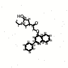 CCN1CC(C(=O)COc2cc(-c3ccccc3)nc3ccccc23)CC1O